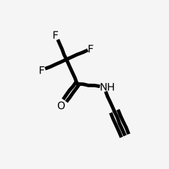 C#CNC(=O)C(F)(F)F